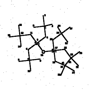 CC(C)(C)[CH2][Sn]([CH2]C(C)(C)C)([CH2]C(C)(C)C)[O][Sn]([CH2]C(C)(C)C)([CH2]C(C)(C)C)[CH2]C(C)(C)C